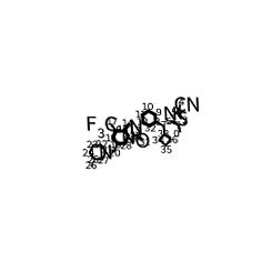 Cc1sc(C#N)nc1[C@@H](c1cccc(-n2cc3c(C(F)(F)F)cc(CN4CCC[C@H](C)C4)cn3c2=O)c1)C1CCC1